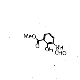 COC(=O)c1cccc(NC=O)c1O